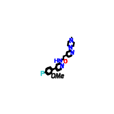 COc1cc(F)ccc1-c1ccnc(NC(=O)Cc2ccnc(N3CCN(C)CC3)c2)c1